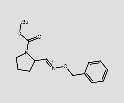 CC(C)(C)OC(=O)N1CCCC1/C=N/OCc1ccccc1